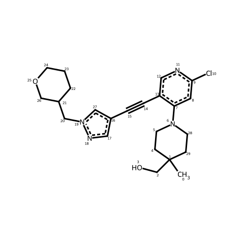 CC1(CO)CCN(c2cc(Cl)ncc2C#Cc2cnn(CC3CCCOC3)c2)CC1